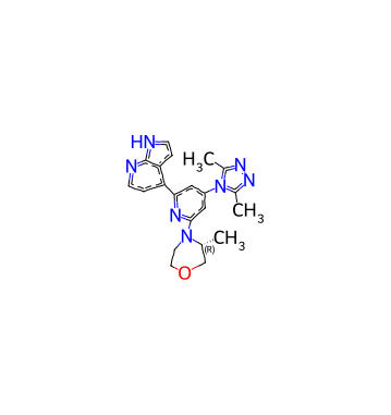 Cc1nnc(C)n1-c1cc(-c2ccnc3[nH]ccc23)nc(N2CCOC[C@H]2C)c1